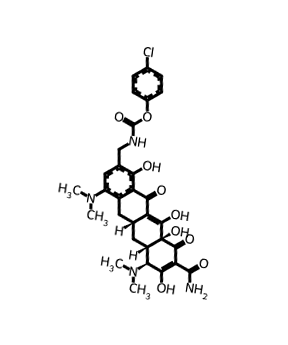 CN(C)c1cc(CNC(=O)Oc2ccc(Cl)cc2)c(O)c2c1C[C@H]1C[C@H]3[C@H](N(C)C)C(O)=C(C(N)=O)C(=O)[C@@]3(O)C(O)=C1C2=O